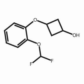 OC1CC(Oc2ccccc2OC(F)F)C1